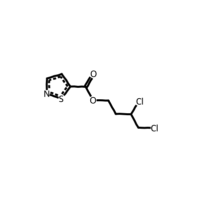 O=C(OCCC(Cl)CCl)c1ccns1